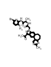 CC(=O)c1nn(CC(=O)N[C@@H](C)C(=O)Nc2nc(Br)ccc2C)c2cc3c(cc12)-c1cnc(C)nc1CCC3